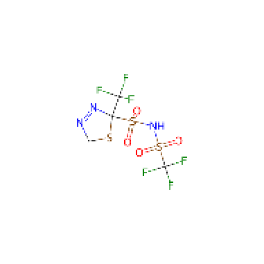 O=S(=O)(NS(=O)(=O)C1(C(F)(F)F)N=NCS1)C(F)(F)F